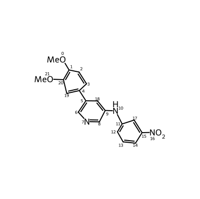 COc1ccc(-c2cncc(Nc3cccc([N+](=O)[O-])c3)c2)cc1OC